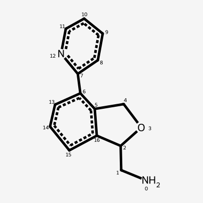 NCC1OCc2c(-c3ccccn3)cccc21